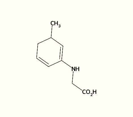 CC1C=C(NCC(=O)O)C=CC1